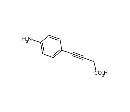 Nc1ccc(C#CCC(=O)O)cc1